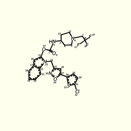 O=C(NC1CCN(CC(F)(F)F)CC1)Oc1cc2ccccc2n1Cc1cc(-c2ccc(Cl)s2)on1